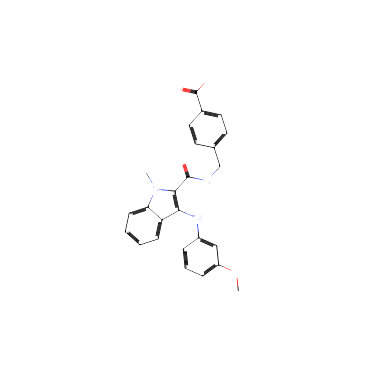 COc1cccc(Nc2c(C(=O)N[C@@H](C)c3ccc(C(=O)O)cc3)n(C)c3ccccc23)c1